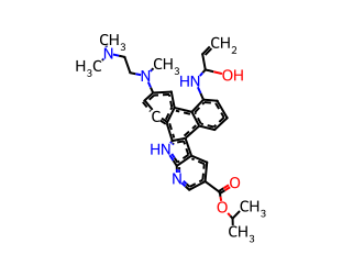 C=CC(O)Nc1cccc2c1c1cc(N(C)CCN(C)C)ccc1c1[nH]c3ncc(C(=O)OC(C)C)cc3c21